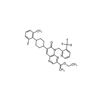 C=C(OCC)c1cnc2cc(C3CCC(c4c(C)cccc4F)CC3)c(=O)n(Cc3ncccc3C(F)(F)F)c2n1